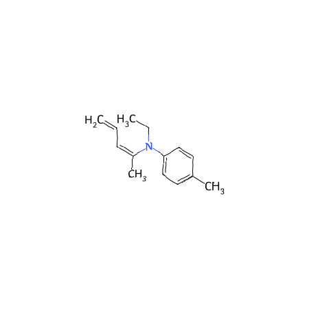 C=C/C=C(/C)N(CC)c1ccc(C)cc1